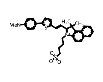 CNc1ccc(-c2ccc(/C=C/C3=[N+](CCCCS(=O)(=O)[O-])c4ccc5ccccc5c4C3(C)C)s2)cc1